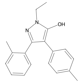 CCn1nc(-c2ccccc2C)c(-c2ccc(C)cc2)c1O